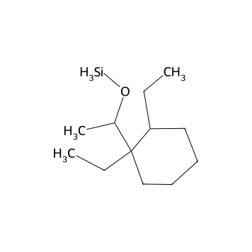 CCC1CCCCC1(CC)C(C)O[SiH3]